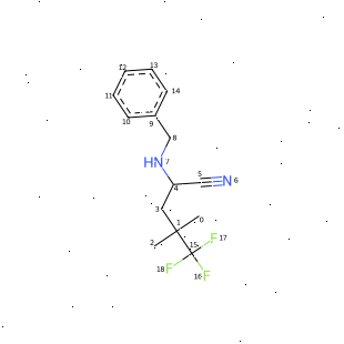 CC(C)(CC(C#N)NCc1ccccc1)C(F)(F)F